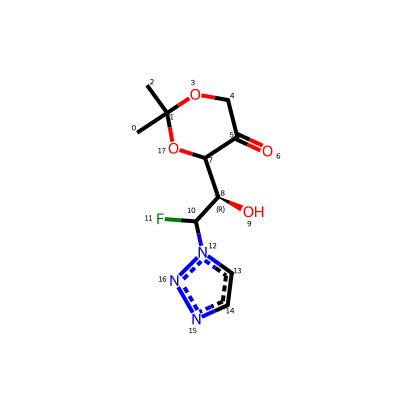 CC1(C)OCC(=O)C([C@@H](O)C(F)n2ccnn2)O1